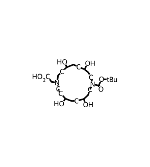 CC(C)(C)OC(=O)N1CCC(O)CCC(O)CCN(CC(=O)O)CCC(O)CCC(O)CC1